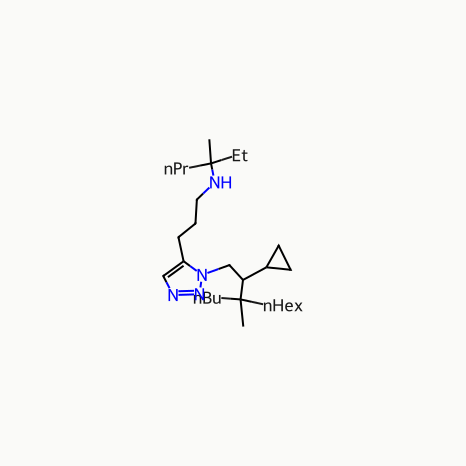 CCCCCCC(C)(CCCC)C(Cn1nncc1CCCNC(C)(CC)CCC)C1CC1